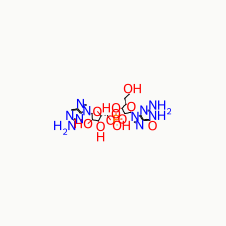 Nc1ncc2ncn([C@@H]3O[C@H](COP(=O)(O)O[C@@H]4[C@H](O)[C@@H](CCO)O[C@H]4n4cnc5c(=O)[nH]c(N)nc54)[C@@H](O)[C@H]3O)c2n1